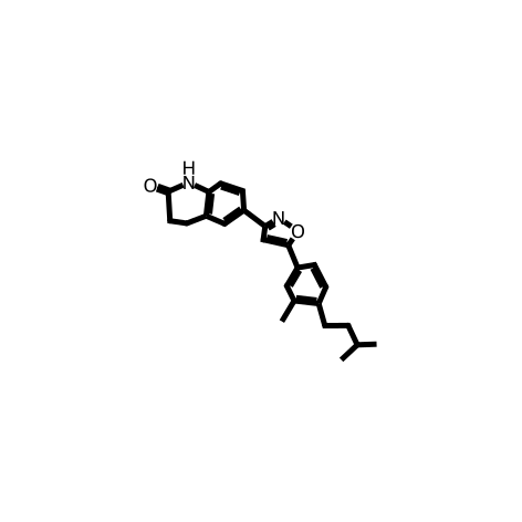 Cc1cc(-c2cc(-c3ccc4c(c3)CCC(=O)N4)no2)ccc1CCC(C)C